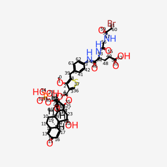 COc1c([C@@H]2O[C@@H]3C[C@H]4[C@@H]5CCC6=CC(=O)C=C[C@]6(C)[C@H]5[C@@H](O)C[C@]4(C)[C@]3(C(=O)COP(=O)(O)O)O2)csc1Cc1ccc(NC(=O)[C@H](CCC(=O)O)NC(=O)CNC(=O)CBr)cc1